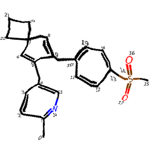 Cc1ccc(C2=CC3(C=C2c2ccc(S(C)(=O)=O)cc2)CCC3)cn1